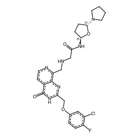 O=C(CNCc1nccc2c(=O)[nH]c(COc3ccc(F)c(Cl)c3)nc12)N[C@H]1CC[C@H](N2CCCC2)O1